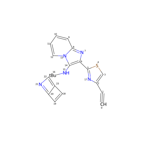 C#Cc1csc(-c2nc3ccccn3c2NC(C)(C)C)n1.c1cc2ncc1-2